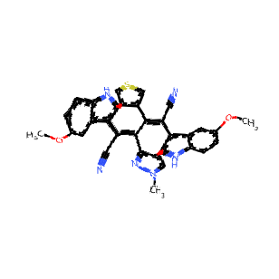 COc1ccc2[nH]cc(/C(C#N)=C(\C(=C(\C#N)c3c[nH]c4ccc(OC)cc34)c3ccn(C)n3)c3ccsc3)c2c1